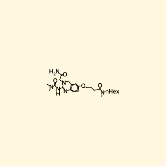 CCCCCCN(C)C(=O)CCCOc1ccc2c(c1)CN(CC(N)=O)C(NC(=O)N(C)C)=N2